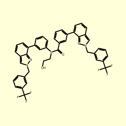 O=C(c1cccc(-c2cccc3cn(Cc4cccc(C(F)(F)F)c4)nc23)c1)N(CCO)c1cccc(-c2cccc3cn(Cc4cccc(C(F)(F)F)c4)nc23)c1